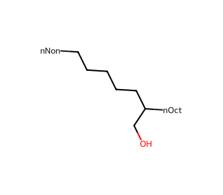 CCCCCCCCCCCCCCC(CO)CCCCCCCC